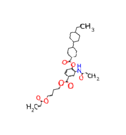 C=CC(=O)Nc1cc(C(=O)OCCCCOC(=O)C=C)ccc1OC(=O)C1CCC(C2CCC(CC)CC2)CC1